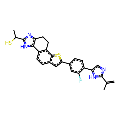 C=C(C)c1ncc(-c2ccc(-c3cc4ccc5c(c4s3)CCc3nc(C(C)S)[nH]c3-5)cc2F)[nH]1